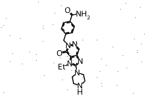 CCn1c(N2CCNCC2)nc2cnn(Cc3ccc(C(N)=O)cc3)c(=O)c21